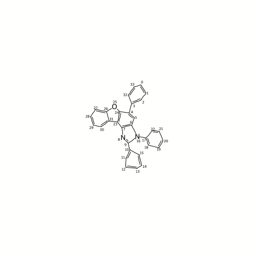 c1ccc(-c2cc3c(nc(-c4ccccc4)n3-c3ccccc3)c3c2oc2ccccc23)cc1